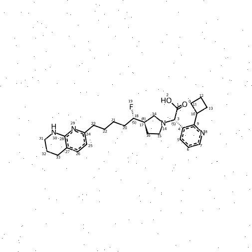 O=C(O)[C@H](c1cccnc1C1CCC1)N1CC[C@@H]([C@@H](F)CCCCc2ccc3c(n2)NCCC3)C1